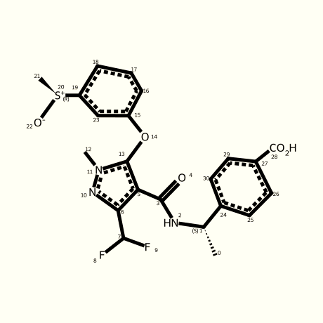 C[C@H](NC(=O)c1c(C(F)F)nn(C)c1Oc1cccc([S@+](C)[O-])c1)c1ccc(C(=O)O)cc1